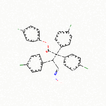 O=C(Oc1ccc(F)cc1)C(c1ccc(F)cc1)(c1ccc(F)cc1)C(C=NO)c1ccc(F)cc1